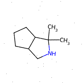 CC1(C)NCC2CCCC21